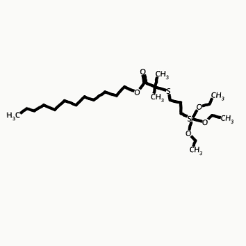 CCCCCCCCCCCCOC(=O)C(C)(C)SCCC[Si](OCC)(OCC)OCC